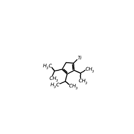 CC(C)C1=C(C(C)C)C(C(C)C)=[C]([Ti])C1